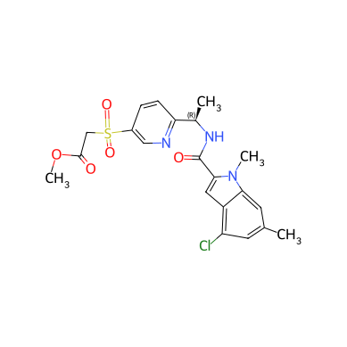 COC(=O)CS(=O)(=O)c1ccc([C@@H](C)NC(=O)c2cc3c(Cl)cc(C)cc3n2C)nc1